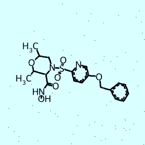 CC1CN(S(=O)(=O)c2ccc(OCc3ccccc3)cn2)C(C(=O)NO)C(C)O1